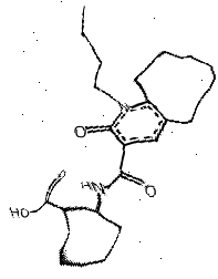 CCCCn1c2c(cc(C(=O)NC3CCCCC3C(=O)O)c1=O)CCCCCC2